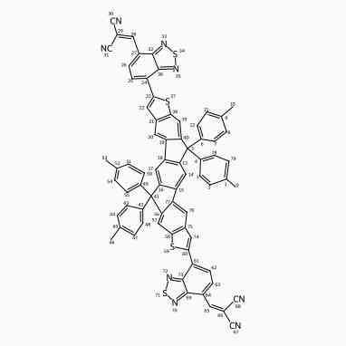 Cc1ccc(C2(c3ccc(C)cc3)c3cc4c(cc3-c3cc5cc(-c6ccc(C=C(C#N)C#N)c7nsnc67)sc5cc32)C(c2ccc(C)cc2)(c2ccc(C)cc2)c2cc3sc(-c5ccc(C=C(C#N)C#N)c6nsnc56)cc3cc2-4)cc1